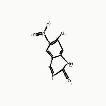 O=c1ncc2cc([N+](=O)[O-])c(Cl)cc2[nH]1